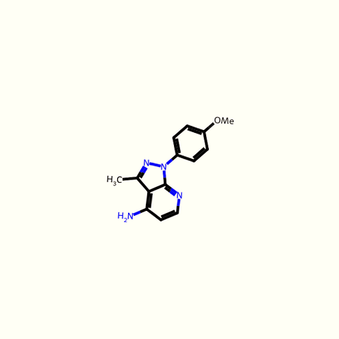 COc1ccc(-n2nc(C)c3c(N)ccnc32)cc1